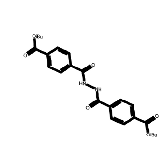 CC(C)COC(=O)c1ccc(C(=O)NNC(=O)c2ccc(C(=O)OCC(C)C)cc2)cc1